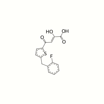 O=C(O)/C(O)=C/C(=O)c1ccc(Cc2ccccc2F)s1